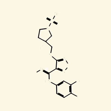 NS(=O)(=O)N1CC[C@](F)(CNc2nonc2/C(=N/O)Nc2ccc(F)c(Br)c2)C1